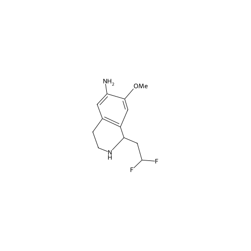 COc1cc2c(cc1N)CCNC2CC(F)F